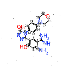 N=C(N)c1cc(-c2nnc(O)n2-c2ccc(N3CCOCC3)cc2)c(O)cc1N